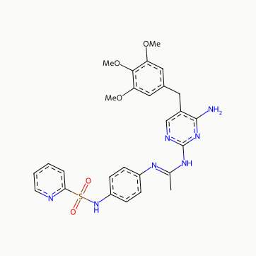 COc1cc(Cc2cnc(NC(C)=Nc3ccc(NS(=O)(=O)c4ccccn4)cc3)nc2N)cc(OC)c1OC